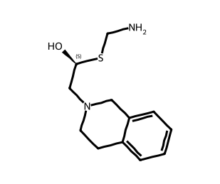 NCS[C@H](O)CN1CCc2ccccc2C1